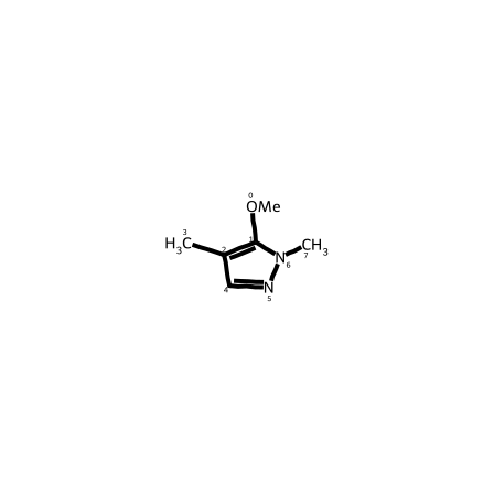 COc1c(C)cnn1C